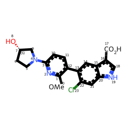 COc1nc(N2CC[C@H](O)C2)ccc1-c1cc2c(C(=O)O)c[nH]c2cc1Cl